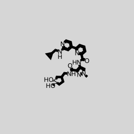 Cn1cc(NC(=O)c2cccc(-c3ccnc(NCC4CC4)c3)n2)c(C(=O)NCC2CCS(O)(O)C2)n1